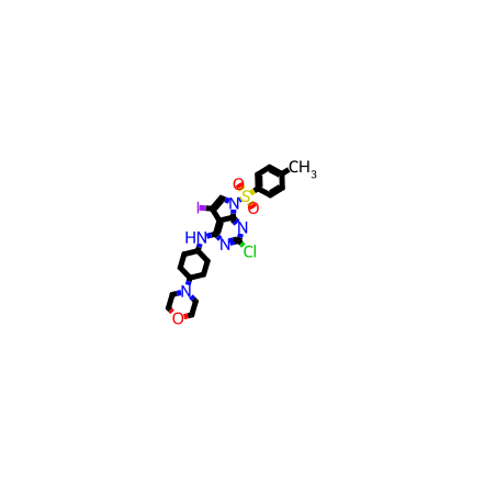 Cc1ccc(S(=O)(=O)n2cc(I)c3c(NC4CCC(N5CCOCC5)CC4)nc(Cl)nc32)cc1